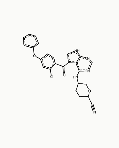 N#CC1CCC(Nc2ncnc3[nH]cc(C(=O)c4ccc(Oc5ccccc5)cc4Cl)c23)CO1